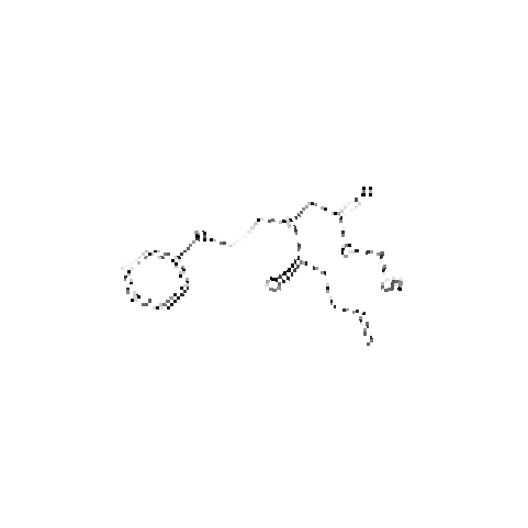 C=CCCC(=O)N(CCOc1ccccc1)CC(=O)OCC#N